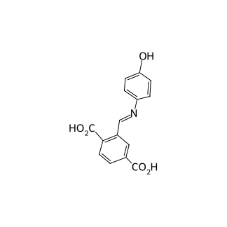 O=C(O)c1ccc(C(=O)O)c(C=Nc2ccc(O)cc2)c1